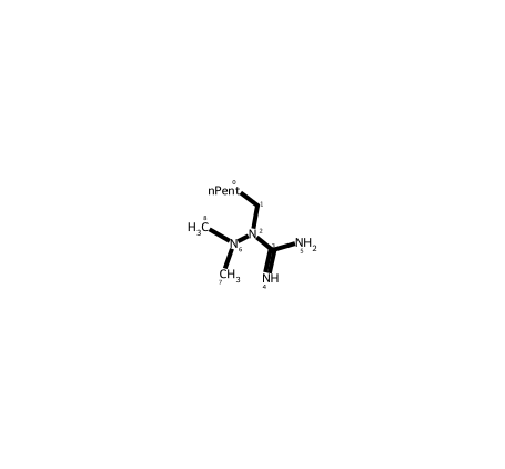 CCCCCCN(C(=N)N)N(C)C